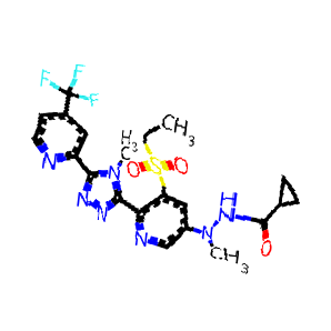 CCS(=O)(=O)c1cc(N(C)NC(=O)C2CC2)cnc1-c1nnc(-c2cc(C(F)(F)F)ccn2)n1C